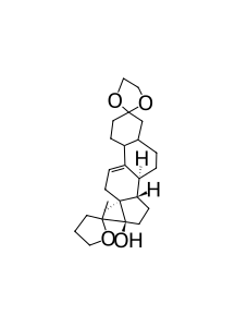 CC1([C@@]2(O)CC[C@H]3[C@@H]4CCC5CC6(CCC5C4=CC[C@@]32C)OCCO6)CCCO1